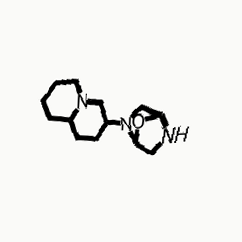 C1CCN2CC(N3CC4NCC3O4)CCC2C1